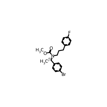 COC(=O)N(CCCc1ccc(F)cc1)[C@@H](C)c1ccc(Br)cc1